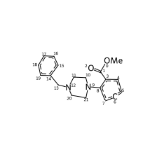 COC(=O)c1ccccc1N1CCN(Cc2ccccc2)CC1